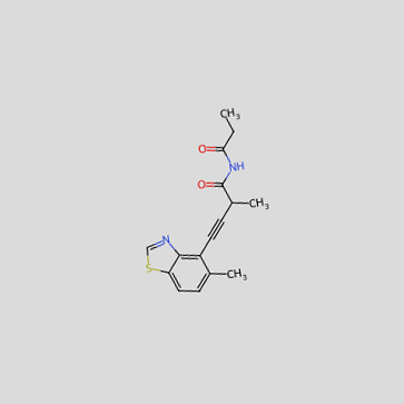 CCC(=O)NC(=O)C(C)C#Cc1c(C)ccc2scnc12